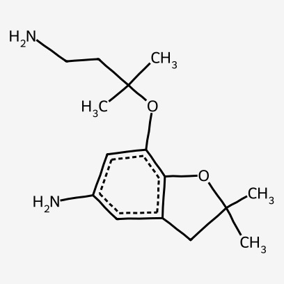 CC(C)(CCN)Oc1cc(N)cc2c1OC(C)(C)C2